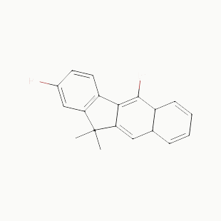 CC1(C)C2=CC3C=CC=CC3C(Br)=C2c2ccc(Br)cc21